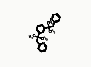 CC(C)(Cc1ccccn1)c1cccc(C(C)(C)Cc2ccccn2)c1